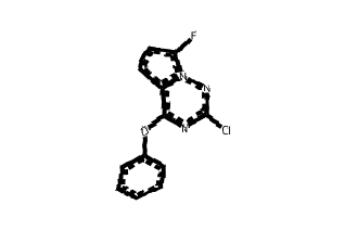 Fc1ccc2c(Oc3ccccc3)nc(Cl)nn12